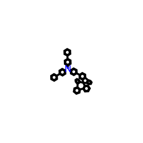 c1ccc(-c2ccc(N(c3ccc(-c4ccccc4)cc3)c3ccc(-c4ccc5c(c4)C4(c6ccccc6-c6ccccc6-c6ccccc64)c4ccccc4-5)cc3)cc2)cc1